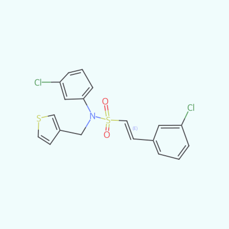 O=S(=O)(/C=C/c1cccc(Cl)c1)N(Cc1ccsc1)c1cccc(Cl)c1